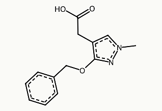 Cn1cc(CC(=O)O)c(OCc2ccccc2)n1